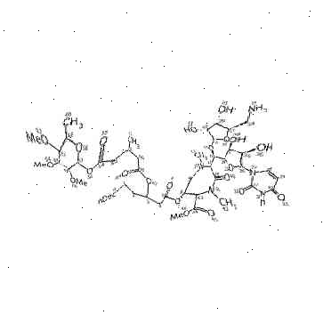 CCCCCCCCCCCCC(CC(=O)O[C@H]1CN(C)C([C@@H](OC2O[C@H](CN)[C@@H](O)[C@H]2O)C2OC(n3ccc(=O)[nH]c3=O)[C@H](O)[C@@H]2O)C(=O)N(C)C1C(=O)OC)OC(=O)CC(C)CC(=O)OC1OC(C)C(OC)C(OC)C1OC